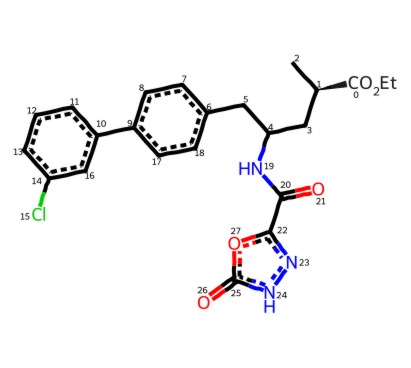 CCOC(=O)[C@H](C)CC(Cc1ccc(-c2cccc(Cl)c2)cc1)NC(=O)c1n[nH]c(=O)o1